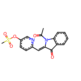 CC(=O)N1/C(=C\c2ccc(OS(C)(=O)=O)cn2)C(=O)c2ccccc21